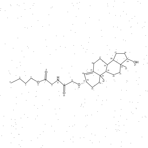 CCCCOC(=O)CNC(=O)CO[C@@H]1C=C2CCC3C(CCC4(C)C(O)CCC34)C2(C)CC1